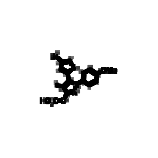 COc1ccc(-n2nc(OC(=O)O)c(C)c2-c2cc(Br)cs2)cc1